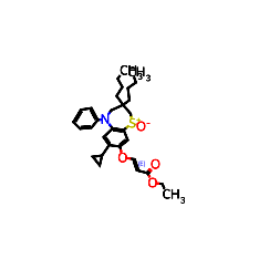 CCCCC1(CCCC)CN(c2ccccc2)c2cc(C3CC3)c(O/C=C/C(=O)OCC)cc2[S+]([O-])C1